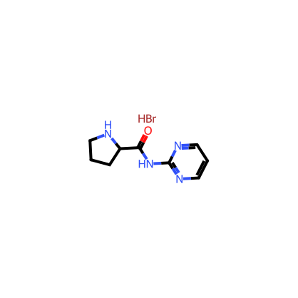 Br.O=C(Nc1ncccn1)C1CCCN1